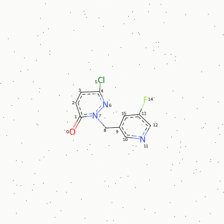 O=c1ccc(Cl)nn1Cc1cncc(F)c1